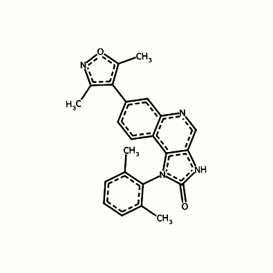 Cc1cccc(C)c1-n1c(=O)[nH]c2cnc3cc(-c4c(C)noc4C)ccc3c21